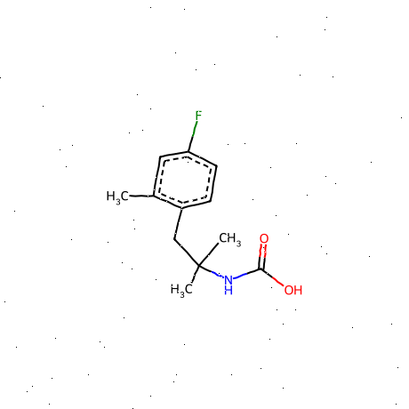 Cc1cc(F)ccc1CC(C)(C)NC(=O)O